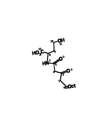 CCCCCCCCCC(=O)CC(=O)NC(CCO)C(=O)O